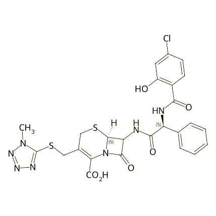 Cn1nnnc1SCC1=C(C(=O)O)N2C(=O)C(NC(=O)[C@@H](NC(=O)c3ccc(Cl)cc3O)c3ccccc3)[C@@H]2SC1